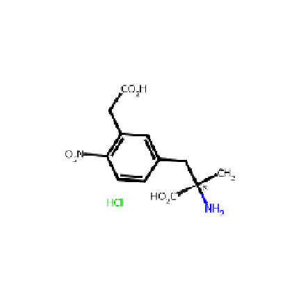 C[C@](N)(Cc1ccc([N+](=O)[O-])c(CC(=O)O)c1)C(=O)O.Cl